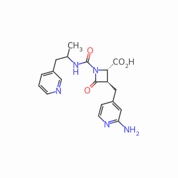 CC(Cc1cccnc1)NC(=O)N1C(=O)[C@H](Cc2ccnc(N)c2)[C@H]1C(=O)O